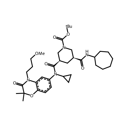 COCCCN1C(=O)C(C)(C)Oc2ccc(N(C(=O)[C@@H]3C[C@H](C(=O)NC4CCCCCC4)CN(C(=O)OC(C)(C)C)C3)C3CC3)cc21